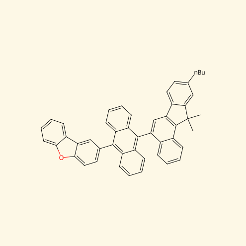 CCCCc1ccc2c(c1)C(C)(C)c1c-2cc(-c2c3ccccc3c(-c3ccc4oc5ccccc5c4c3)c3ccccc23)c2ccccc12